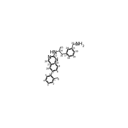 Cc1ccccc1-c1ccc2nc(NC(C)Cc3cccc(CN)c3)ncc2c1